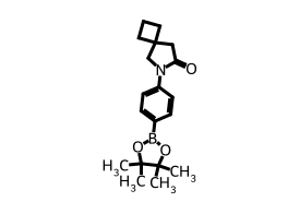 CC1(C)OB(c2ccc(N3CC4(CCC4)CC3=O)cc2)OC1(C)C